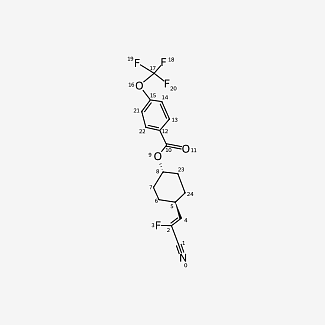 N#CC(F)=C[C@H]1CC[C@H](OC(=O)c2ccc(OC(F)(F)F)cc2)CC1